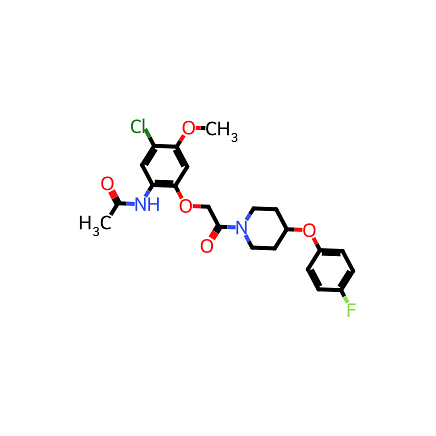 COc1cc(OCC(=O)N2CCC(Oc3ccc(F)cc3)CC2)c(NC(C)=O)cc1Cl